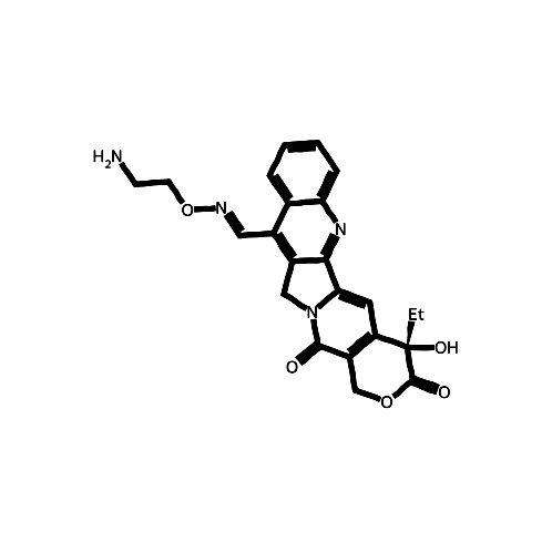 CC[C@@]1(O)C(=O)OCc2c1cc1n(c2=O)Cc2c-1nc1ccccc1c2/C=N/OCCN